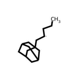 CCC[CH]CC12CC3CC(CC(C3)C1)C2